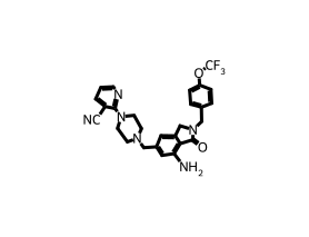 N#Cc1cccnc1N1CCN(Cc2cc(N)c3c(c2)CN(Cc2ccc(OC(F)(F)F)cc2)C3=O)CC1